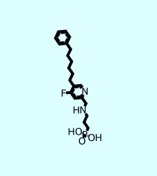 O=P(O)(O)CCCNCc1cc(F)c(CCCCCCc2ccccc2)cn1